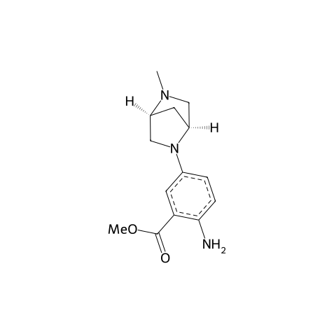 COC(=O)c1cc(N2C[C@@H]3C[C@H]2CN3C)ccc1N